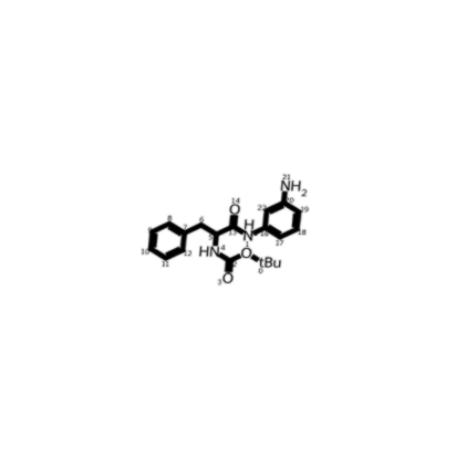 CC(C)(C)OC(=O)NC(Cc1ccccc1)C(=O)Nc1cccc(N)c1